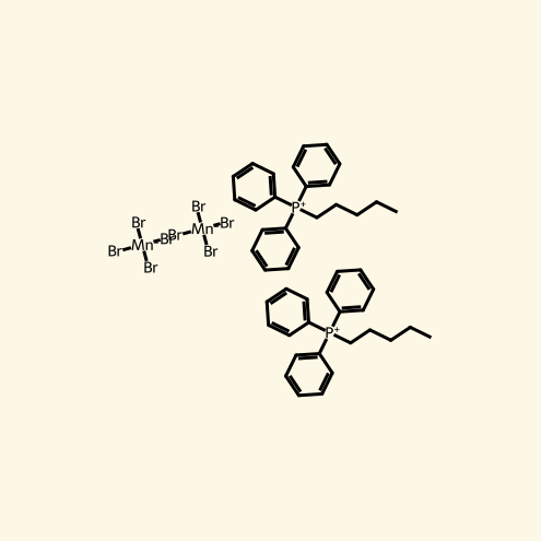 CCCCC[P+](c1ccccc1)(c1ccccc1)c1ccccc1.CCCCC[P+](c1ccccc1)(c1ccccc1)c1ccccc1.[Br][Mn-]([Br])([Br])[Br].[Br][Mn-]([Br])([Br])[Br]